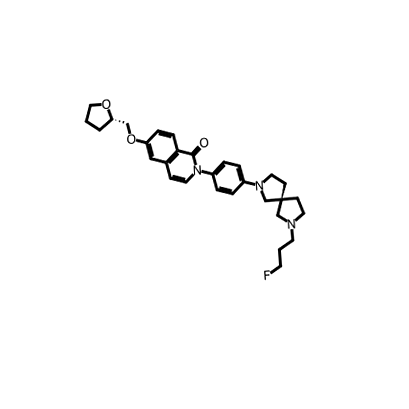 O=c1c2ccc(OC[C@@H]3CCCO3)cc2ccn1-c1ccc(N2CC[C@]3(CCN(CCCF)C3)C2)cc1